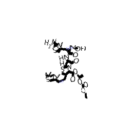 CCOC(=O)OC(C)OC(=O)C1=C(/C=C\c2csnn2)CS[C@H]2C(NC(=O)/C(=N\O)c3csc(N)n3)C(=O)N12